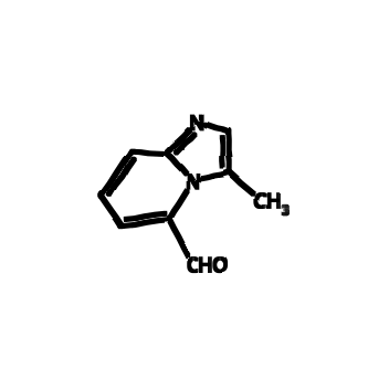 Cc1cnc2cccc(C=O)n12